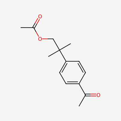 CC(=O)OCC(C)(C)c1ccc(C(C)=O)cc1